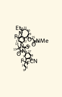 C/C=C/C(F)(F)c1cc(N2C(=O)C(C)(C)N(c3cc(F)c4c(c3)/C(OCC(=O)NC)=C\CC/C(CC)=N\4)C2=S)ccc1C#N